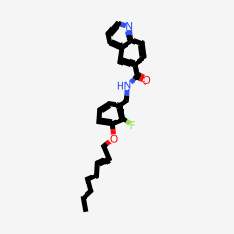 CCCCCC=CCOc1cccc(CNC(=O)c2ccc3ncccc3c2)c1F